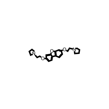 c1cc2c(cc1OCCN1CCCC1)oc1cc(OCCN3CCCC3)ccc12